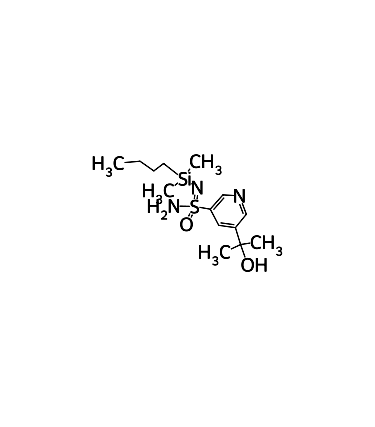 CCCC[Si](C)(C)N=S(N)(=O)c1cncc(C(C)(C)O)c1